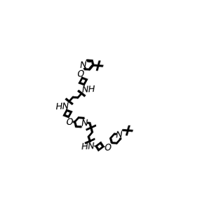 CC(C)(C)CN1CCC(O[C@H]2C[C@@H](NC(C)(C)CCC(C)(C)CN3CCC(O[C@H]4C[C@H](NC(C)(C)CCC(C)(C)N[C@H]5C[C@H](Oc6cc(C(C)(C)C)ccn6)C5)C4)CC3)C2)CC1